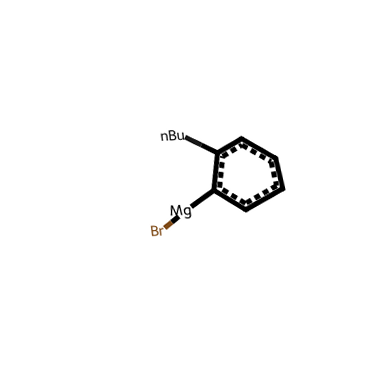 CCCCc1cccc[c]1[Mg][Br]